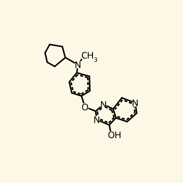 CN(c1ccc(Oc2nc(O)c3ccncc3n2)cc1)C1CCCCC1